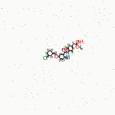 CCOC(O)CC1=CC(F)C(NC(O)C2CC(OCC3CCCC(Cl)C3)C=CC2Cl)C(F)C1